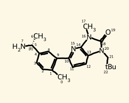 Cc1ccc([C@@H](C)N)cc1-c1ccc2c(n1)n(C)c(=O)n2CC(C)(C)C